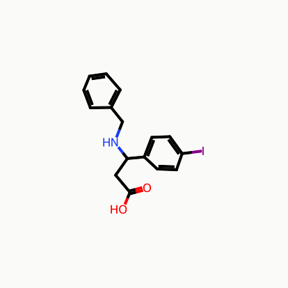 O=C(O)CC(NCc1ccccc1)c1ccc(I)cc1